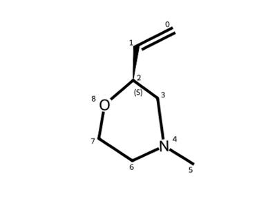 C=C[C@H]1CN(C)CCO1